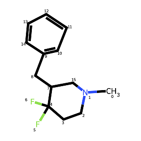 CN1CCC(F)(F)C(Cc2ccccc2)C1